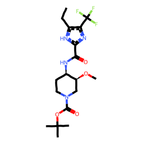 CCc1[nH]c(C(=O)N[C@@H]2CCN(C(=O)OC(C)(C)C)C[C@@H]2OC)nc1C(F)(F)F